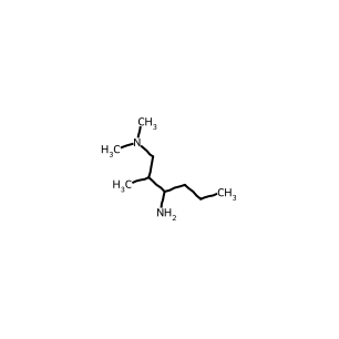 CCCC(N)C(C)CN(C)C